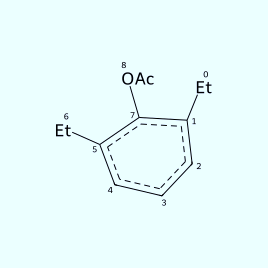 CCc1cccc(CC)c1OC(C)=O